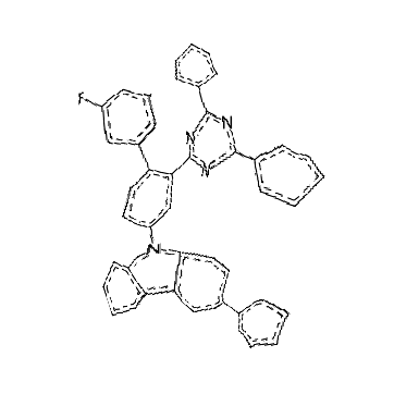 Fc1cccc(-c2ccc(-n3c4ccccc4c4cc(-c5ccccc5)ccc43)cc2-c2nc(-c3ccccc3)nc(-c3ccccc3)n2)c1